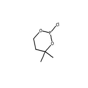 CC1(C)CCOP(Cl)O1